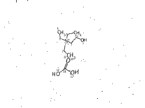 CC[N+](CC)(CC)CCO.O=C(O)O